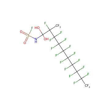 O=S(=O)(F)NC(O)(O)C(F)(C(F)(F)F)C(F)(F)C(F)(F)C(F)(F)C(F)(F)C(F)(F)C(F)(F)C(F)(F)C(F)(F)F